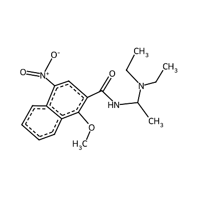 CCN(CC)C(C)NC(=O)c1cc([N+](=O)[O-])c2ccccc2c1OC